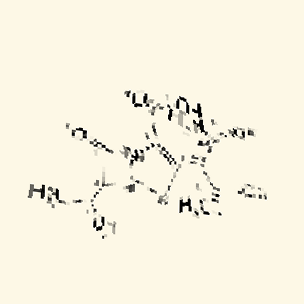 CC(O)C1C(=O)N2C(C(=O)O)=C(C(C(N)=O)[S+](C)[O-])CC12